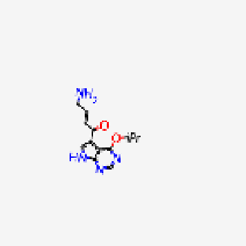 CC(C)Oc1ncnc2[nH]cc(C(=O)C=CCN)c12